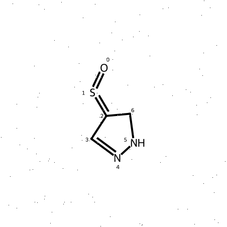 O=S=C1C=NNC1